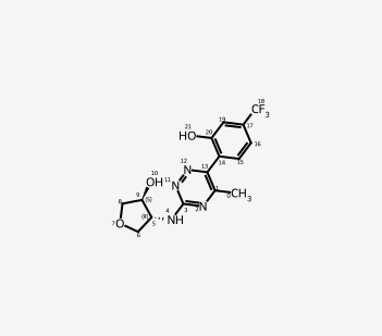 Cc1nc(N[C@@H]2COC[C@H]2O)nnc1-c1ccc(C(F)(F)F)cc1O